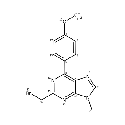 Cn1cnc2c(-c3ccc(OC(F)(F)F)cc3)nc(CBr)nc21